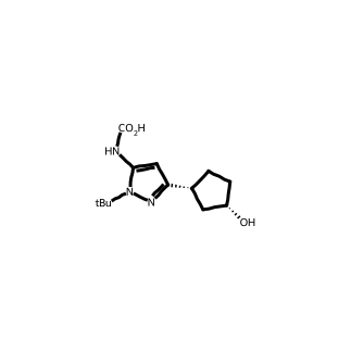 CC(C)(C)n1nc([C@@H]2CC[C@H](O)C2)cc1NC(=O)O